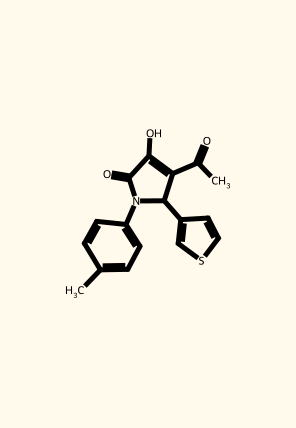 CC(=O)C1=C(O)C(=O)N(c2ccc(C)cc2)C1c1ccsc1